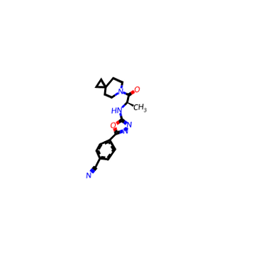 C[C@@H](Nc1nnc(-c2ccc(C#N)cc2)o1)C(=O)N1CCC2(CC1)CC2